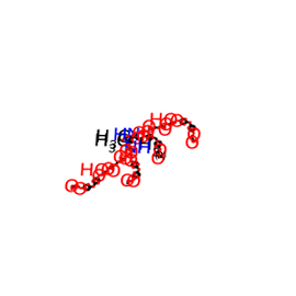 CC1(C)CC(NC(=O)OC(COC(=O)CCCCC(=O)OCC(O)COc2ccc(Cc3ccc(OCC4CO4)cc3)cc2)Oc2ccc(Cc3ccc(OC[C@H]4CO4)cc3)cc2)CC(C)(CNC(=O)OC(COC(=O)CCCCC(=O)OCC(O)COc2ccc(Cc3ccc(OCC4CO4)cc3)cc2)COc2ccc(Cc3ccc(OC4CO4)cc3)cc2)C1